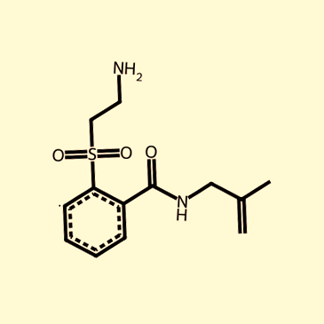 C=C(C)CNC(=O)c1ccc[c]c1S(=O)(=O)CCN